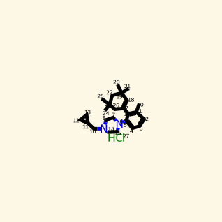 Cc1cccc(N2CCN(CC3CC3)CC2)c1C1=CC(C)(C)CC(C)(C)C1.Cl